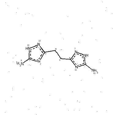 Nc1nc(CCc2n[nH]c(N)n2)n[nH]1